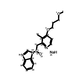 COCCCOc1ccnc(C[S+]([O-])n2cnc3ccccc32)c1C.[NaH]